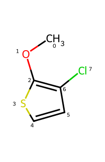 COc1sccc1Cl